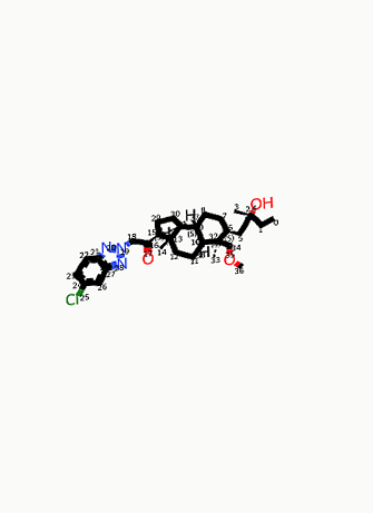 CC[C@@](C)(O)C[C@@H]1CC[C@@H]2[C@H](CC[C@]3(C)[C@@H](C(=O)Cn4nc5ccc(Cl)cc5n4)CC[C@@H]23)[C@]1(C)COC